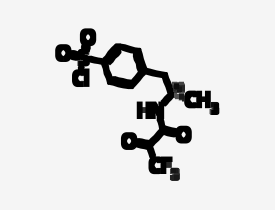 C[C@@H](Cc1ccc(S(=O)(=O)Cl)cc1)NC(=O)C(=O)C(F)(F)F